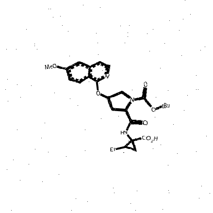 CCC1CC1(NC(=O)C1CC(Oc2nccc3cc(OC)ccc23)CN1C(=O)OC(C)(C)C)C(=O)O